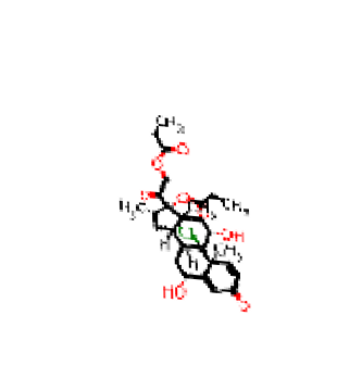 CCC(=O)OCC(=O)[C@]1(OC(=O)CC)[C@@H](C)C[C@H]2[C@@H]3C[C@@H](O)C4=CC(=O)C=C[C@]4(C)[C@@]3(Cl)[C@@H](O)C[C@@]21C